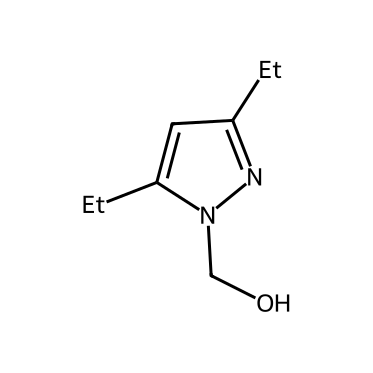 CCc1cc(CC)n(CO)n1